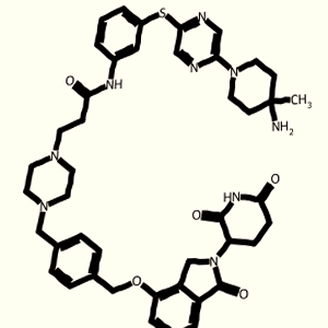 CC1(N)CCN(c2cnc(Sc3cccc(NC(=O)CCN4CCN(Cc5ccc(COc6cccc7c6CN(C6CCC(=O)NC6=O)C7=O)cc5)CC4)c3)cn2)CC1